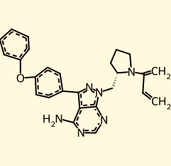 C=CC(=C)N1CCC[C@H]1Cn1nc(-c2ccc(Oc3ccccc3)cc2)c2c(N)ncnc21